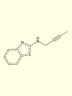 CC#CCNc1nc2ccccc2s1